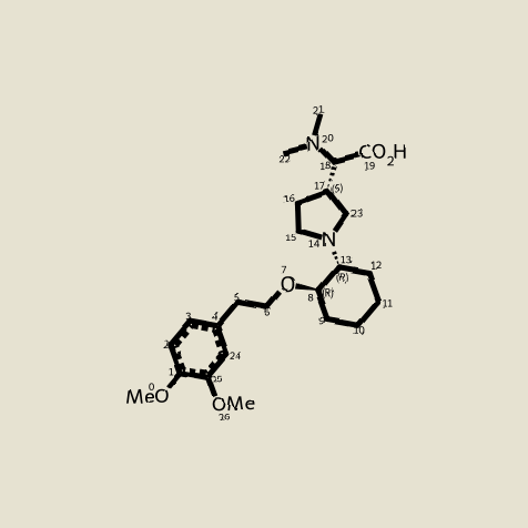 COc1ccc(CCO[C@@H]2CCCC[C@H]2N2CC[C@H](C(C(=O)O)N(C)C)C2)cc1OC